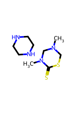 C1CNCCN1.CN1CSC(=S)N(C)C1